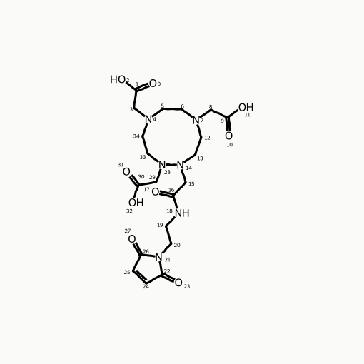 O=C(O)CN1CCN(CC(=O)O)CCN(CC(=O)NCCN2C(=O)C=CC2=O)N(CC(=O)O)CC1